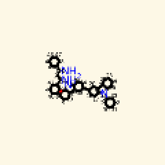 NC(/C=C(\Nn1c2ccccc2c2cc(-c3ccc4c(c3)c3ccccc3n4-c3ccccc3)ccc21)c1ccccc1)c1ccccc1